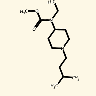 CCN(C(=O)OC)C1CCN(CCC(C)C)CC1